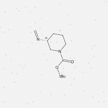 C=N[C@@H]1CCCN(C(=O)OC(C)(C)C)C1